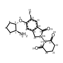 N[C@H]1CCC[C@@H]1Oc1cc2c(cc1F)C(=O)N(N1C(=O)CCCC1=O)C2